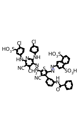 Cc1c(C#N)c(Nc2ccc(Cl)c(S(=O)(=O)O)c2)nc(Nc2ccc(Cl)cc2)c1N=Nc1sc(/N=N/c2cc(S(=O)(=O)O)c3cccc(S(=O)(=O)O)c3c2)c(-c2cccc(NC(=O)c3ccccc3)c2)c1C#N